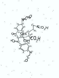 O=C=Nc1ccc(C(=O)C(C(=O)c2ccc(N=C=O)cc2)C(O)(O)C(CCCC(=O)O)C(=O)O)cc1